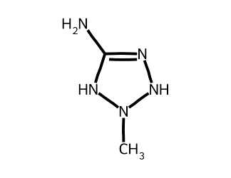 CN1NN=C(N)N1